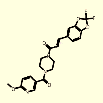 COc1ccc(C(=O)N2CCN(C(=O)/C=C/c3ccc4c(c3)OC(F)(F)O4)CC2)cn1